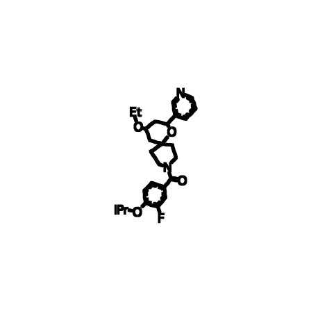 CCOC1CC(c2cccnc2)OC2(CCN(C(=O)c3ccc(OC(C)C)c(F)c3)CC2)C1